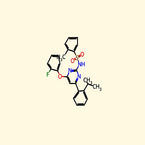 Cc1ccccc1S(=O)(=O)Nc1nc(Oc2ccccc2F)cc(-c2ccccc2C(C)C)n1